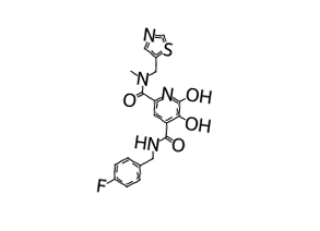 CN(Cc1cncs1)C(=O)c1cc(C(=O)NCc2ccc(F)cc2)c(O)c(O)n1